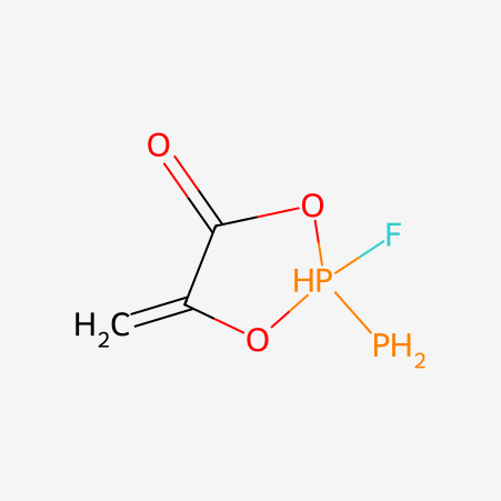 C=C1O[PH](F)(P)OC1=O